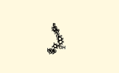 CS(=O)(=O)NC(=O)c1cccc(C(O)C2CCc3ccc(OCc4nc5cc(F)ccc5s4)cc3C2)c1